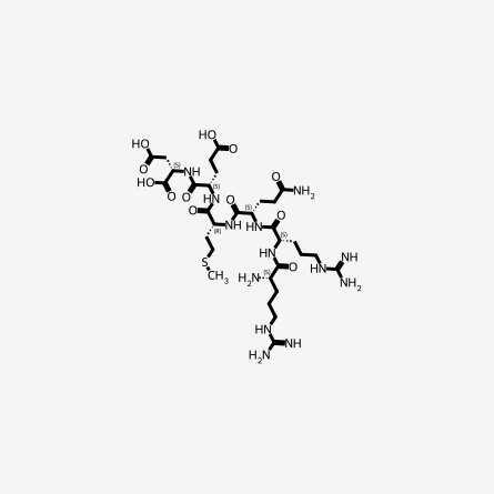 CSCC[C@@H](NC(=O)[C@H](CCC(N)=O)NC(=O)[C@H](CCCNC(=N)N)NC(=O)[C@@H](N)CCCNC(=N)N)C(=O)N[C@@H](CCC(=O)O)C(=O)N[C@@H](CC(=O)O)C(=O)O